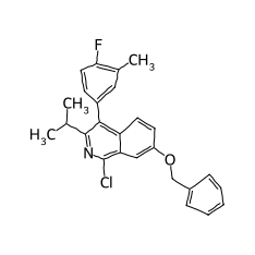 Cc1cc(-c2c(C(C)C)nc(Cl)c3cc(OCc4ccccc4)ccc23)ccc1F